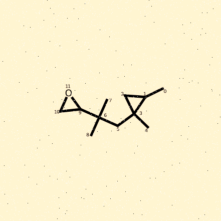 CC1CC1(C)CC(C)(C)C1CO1